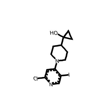 OC1(C2CCN(c3cc(Cl)ncc3I)CC2)CC1